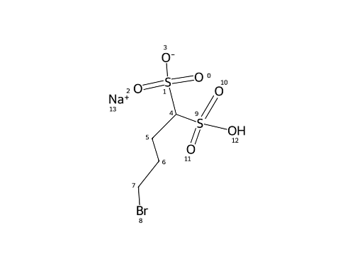 O=S(=O)([O-])C(CCCBr)S(=O)(=O)O.[Na+]